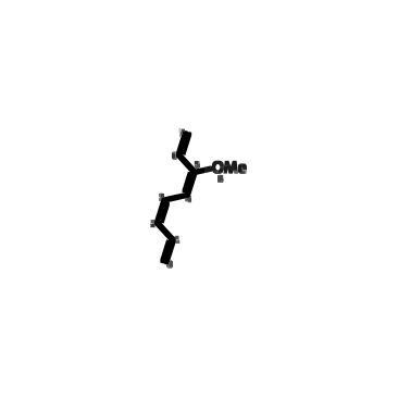 C=C/C=C\C=C(/C=C)OC